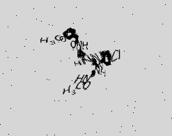 COc1cccc(CC(=O)NCCNc2cc(NCCNC(C)=O)nc(-c3ccc(Cl)cc3)n2)c1